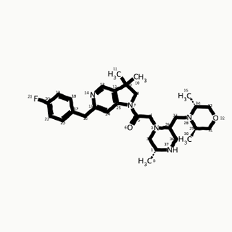 C[C@@H]1CN(CC(=O)N2CC(C)(C)c3cnc(Cc4ccc(F)cc4)cc32)C(CN2[C@H](C)COC[C@H]2C)CN1